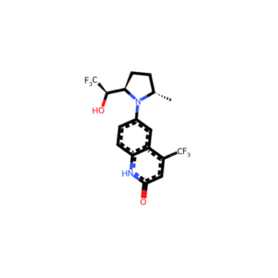 C[C@H]1CC[C@H]([C@@H](O)C(F)(F)F)N1c1ccc2[nH]c(=O)cc(C(F)(F)F)c2c1